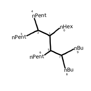 CCCCCC[C](C(CCCCC)CCCCC)C(CCCCC)C(CCCC)CCCC